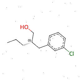 CCC[C@H](CO)Cc1cccc(Cl)c1